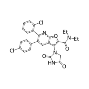 CCN(CC)C(=O)c1oc2nc(-c3ccccc3Cl)c(-c3ccc(Cl)cc3)cc2c1N1CC(=O)NC1=O